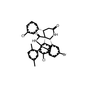 Cc1ccc(C)c(Oc2ccc(Br)cc2[C@H]2NC(=O)C[C@@H](c3cccc(Cl)c3)[C@]23C(=O)Nc2cc(Cl)ccc23)c1